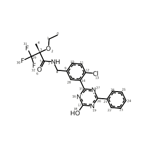 CCO[C@](C)(C(=O)NCc1ccc(Cl)c(-c2nc(O)nc(-c3ccccc3)n2)c1)C(F)(F)F